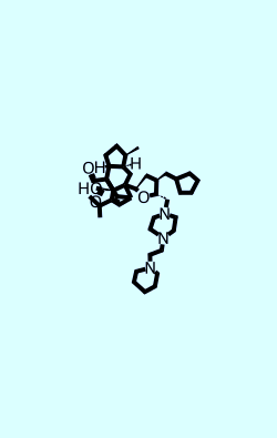 CC(C)C1=CC2CC3(C=O)[C@@H]4CC[C@@H](C)[C@H]4CC2([C@H]2C[C@@H](CC4CCCC4)[C@H](CN4CCN(CCN5CCCCC5)CC4)O2)[C@]13C(=O)O